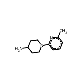 Cc1cccc(N2CCC(N)CC2)n1